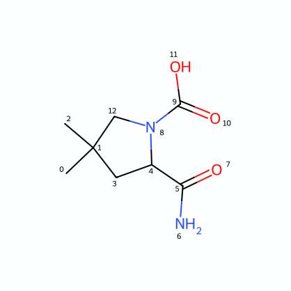 CC1(C)CC(C(N)=O)N(C(=O)O)C1